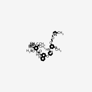 COc1cc(Nc2cc(Oc3ccc(NC(=O)Nc4cc(C(C)(C)C)cc(NS(C)(=O)=O)c4OC)c4ccccc34)ccn2)cc(OCCOCn2ccc(C)n2)c1